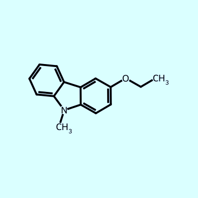 CCOc1ccc2c(c1)c1ccccc1n2C